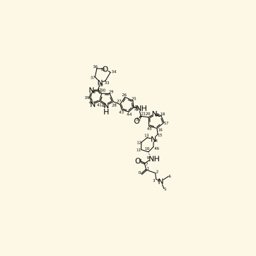 C=C(CCN(C)C)C(=O)N[C@@H]1CCCN(Cc2ccnc(C(=O)Nc3ccc(-c4cc5c(N6CCOCC6)ncnc5[nH]4)cc3)c2)C1